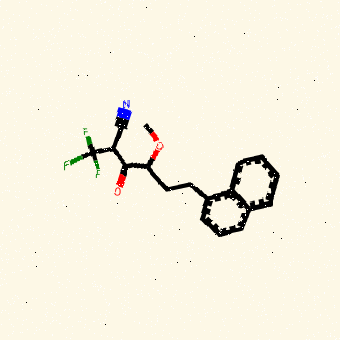 COC(CCc1cccc2ccccc12)C(=O)C(C#N)C(F)(F)F